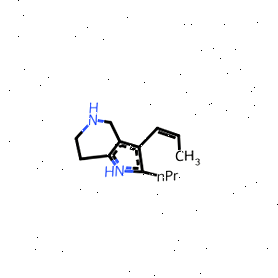 C/C=C\c1c(CCC)[nH]c2c1CNCC2